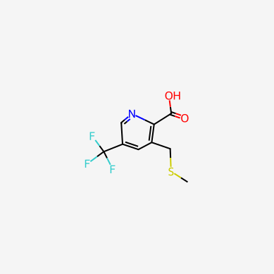 CSCc1cc(C(F)(F)F)cnc1C(=O)O